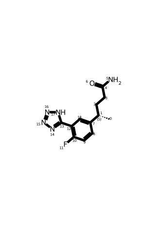 C[C@@H](CCC(N)=O)c1ccc(F)c(-c2nnn[nH]2)c1